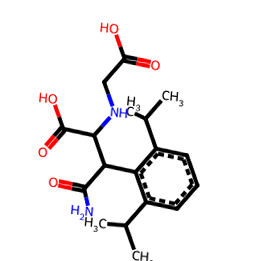 CC(C)c1cccc(C(C)C)c1C(C(N)=O)C(NCC(=O)O)C(=O)O